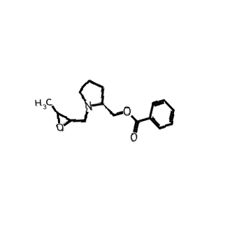 CC1OC1CN1CCC[C@H]1COC(=O)c1ccccc1